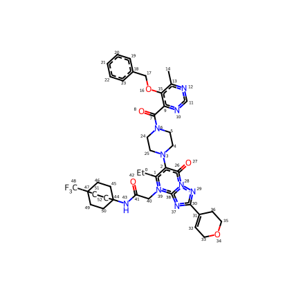 CCc1c(N2CCN(C(=O)c3ncnc(C)c3OCc3ccccc3)CC2)c(=O)n2nc(C3=CCOCC3)nc2n1CC(=O)NC12CCC(C(F)(F)F)(CC1)CC2